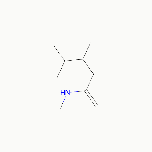 C=C(CC(C)C(C)C)NC